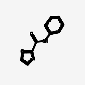 O=C(Nc1ccccc1)c1ncco1